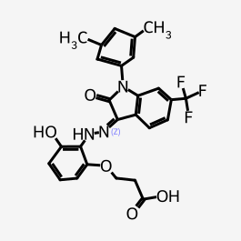 Cc1cc(C)cc(N2C(=O)/C(=N\Nc3c(O)cccc3OCCC(=O)O)c3ccc(C(F)(F)F)cc32)c1